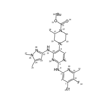 CCc1cc(Nc2ncc(N3CCN(C(=O)OC(C)(C)C)C(C)C3)c(Nc3cc(C)n(C)n3)n2)nc(C)c1F